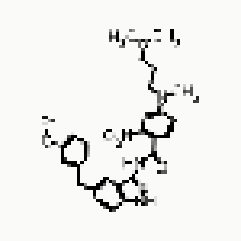 CCOc1cccc(Cc2ccc3[nH]nc(NC(=O)c4ccc(N(C)CCCN(C)C)cc4[N+](=O)[O-])c3c2)c1